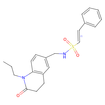 CCCN1C(=O)CCc2cc(CNS(=O)(=O)/C=C/c3ccccc3)ccc21